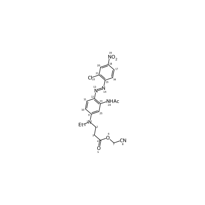 CCN(CCC(=O)OCC#N)c1ccc(N=Nc2ccc([N+](=O)[O-])cc2Cl)c(NC(C)=O)c1